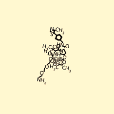 Cc1ncsc1-c1ccc(CNC(=O)[C@@H]2C[C@@H](OC(=O)OC(C)C(C)SS(C)(=O)=O)CN2C(=O)[C@@H](NC(=O)COCCOCCOCCN)C(C)(C)C)cc1